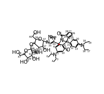 CCN(CC)c1ccc2c(c1)Oc1cc(N(CC)CC)ccc1C21c2ccccc2C(=O)N1Cc1cn(C2OC(CO)C(OC3OC(CO)C(O)C(O)C3O)C(O)C2O)nn1